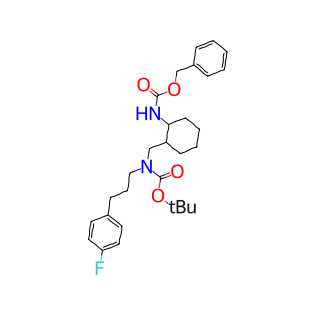 CC(C)(C)OC(=O)N(CCCc1ccc(F)cc1)CC1CCCCC1NC(=O)OCc1ccccc1